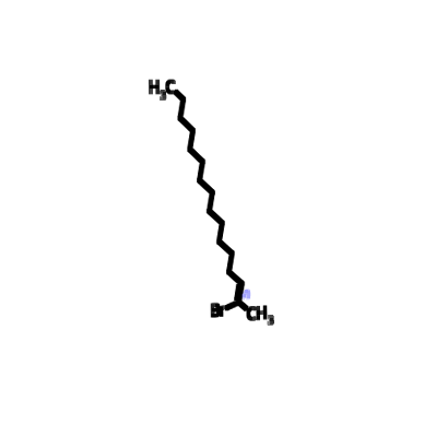 CCCCCCCCCCCCC/C=C(/C)Br